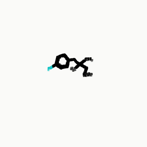 CNCC(C)(C)Cc1ccc(F)cc1